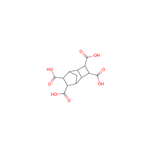 O=C(O)C1C2CC(C1C(=O)O)C1C(C(=O)O)C(C(=O)O)C21